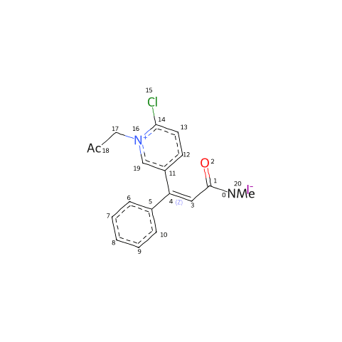 CNC(=O)/C=C(/c1ccccc1)c1ccc(Cl)[n+](CC(C)=O)c1.[I-]